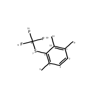 Cc1ccc(C)c(SC(F)(F)F)c1C